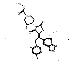 CC(C)(C)OC(=O)N1CC[C@H](N2C(=O)S/C(=C(/Cc3ccc(Cl)cc3C(F)(F)F)c3ccc4[nH]ncc4c3)C2=O)[C@@H](F)C1